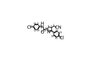 N#CCC1CN(C(=O)Nc2ccc(Cl)cc2)N=C1c1ccc(Cl)cc1